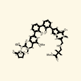 COC(=O)C(C)(C)CNCc1nn2cc(-c3cccc(-c4cccc(-c5ccc(CN(C[C@@H]6CCC(=O)N6)C(=O)OC(C)(C)C)c(OC)n5)c4Cl)c3Cl)cc2c(=O)n1C